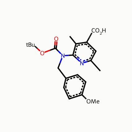 COc1ccc(CN(C(=O)OC(C)(C)C)c2nc(C)cc(C(=O)O)c2C)cc1